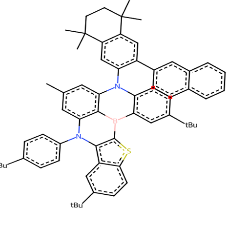 Cc1cc2c3c(c1)N(c1ccc(C(C)(C)C)cc1)c1c(sc4ccc(C(C)(C)C)cc14)B3c1cc(C(C)(C)C)ccc1N2c1cc2c(cc1-c1ccc3ccccc3c1)C(C)(C)CCC2(C)C